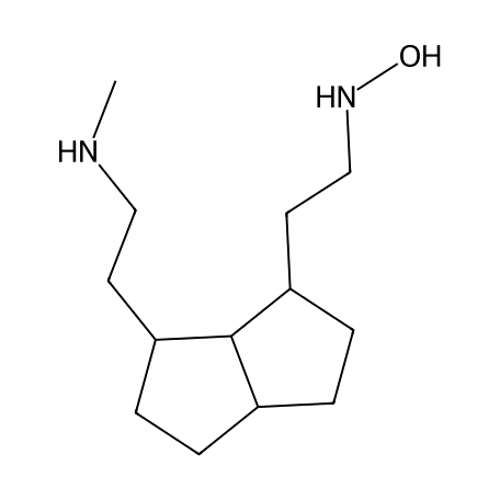 CNCCC1CCC2CCC(CCNO)C12